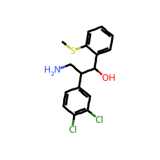 CSc1ccccc1C(O)C(CN)c1ccc(Cl)c(Cl)c1